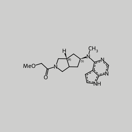 COCC(=O)N1CC2C[C@H](N(C)c3ncnc4[nH]ccc34)C[C@H]2C1